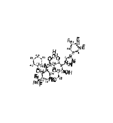 CO[C@@H]1[C@@H](n2cc(-c3cc(F)c(F)c(F)c3)nn2)[C@@H](O)[C@@H](CO)O[C@H]1C(=O)N(c1cccc(C(F)(F)F)c1)[C@H]1CCCC[C@@H]1O